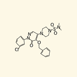 CN(C)S(=O)(=O)N1CCN(c2cnn(-c3cccc(Cl)c3)c(=O)c2OCc2ccccc2)CC1